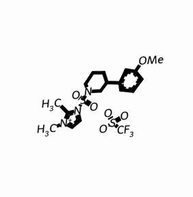 COc1cccc(C2CCCN(S(=O)(=O)n3cc[n+](C)c3C)C2)c1.O=S(=O)([O-])C(F)(F)F